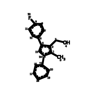 Cc1c(CO)c(-c2ccc(F)cc2)cn1-c1ccccc1